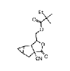 CCC(C)(C)C(=O)OCC1OC(=O)C2(C#N)CC3CC3C12